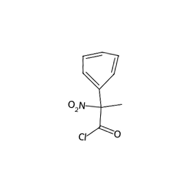 CC(C(=O)Cl)(c1ccccc1)[N+](=O)[O-]